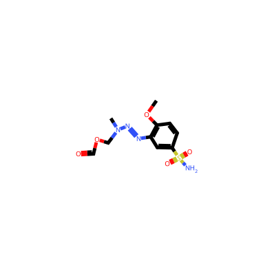 COc1ccc(S(N)(=O)=O)cc1/N=N/N(C)COC=O